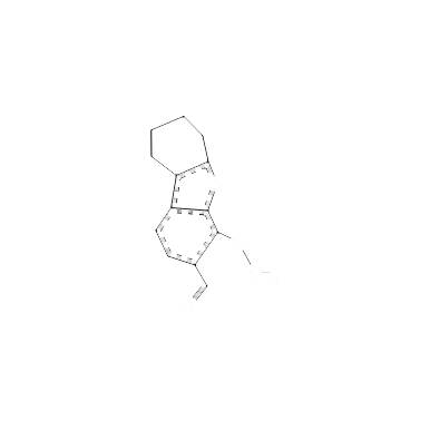 COc1c(C=O)ccc2c3c(sc12)CCCC3